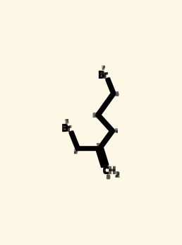 C=C(CBr)CCCBr